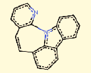 C1=Cc2cccc3c4ccccc4n(c23)-c2ncccc21